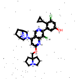 Oc1cc(Cl)c(C2CC2)c(-c2ncc3c(N4CC5CCC(C4)N5)cc(OCC45CCCN4CCC5)nc3c2F)c1